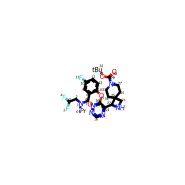 CC(C)N(CC(F)F)C(=O)c1cc(F)ccc1Oc1nncnc1C1NCC12CCN(C(=O)OC(C)(C)C)CC2